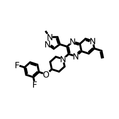 C=Cc1cc2nc(N3CCC(Oc4ccc(F)cc4F)CC3)c(-c3cnn(C)c3)nc2cn1